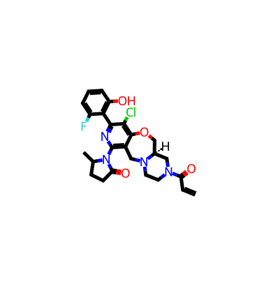 C=CC(=O)N1CCN2Cc3c(N4C(=O)CCC4C)nc(-c4c(O)cccc4F)c(Cl)c3OC[C@H]2C1